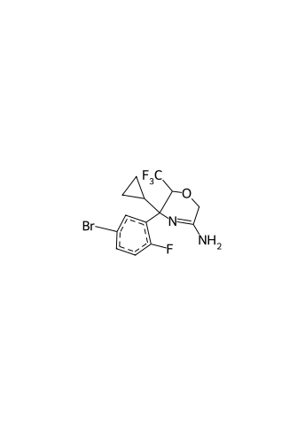 NC1=NC(c2cc(Br)ccc2F)(C2CC2)C(C(F)(F)F)OC1